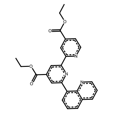 CCOC(=O)c1ccnc(-c2cc(C(=O)OCC)cc(-c3cccc4cccnc34)n2)c1